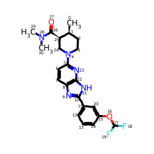 C[C@H]1CCN(c2ccc3nc(-c4cccc(OC(F)F)c4)[nH]c3n2)C[C@H]1C(=O)N(C)C